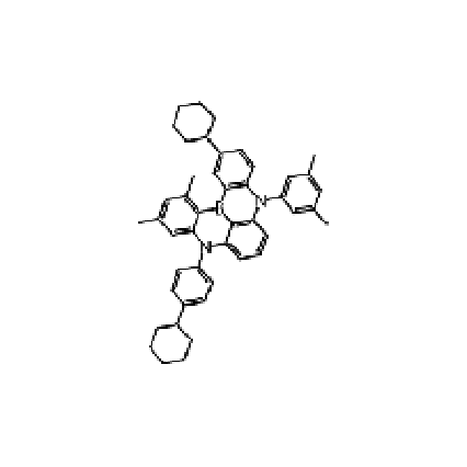 Cc1cc(C)cc(N2c3ccc(C4CCCCC4)cc3B3c4c(C)cc(C)cc4N(c4ccc(C5CCCCC5)cc4)c4cccc2c43)c1